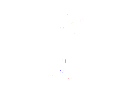 O=S(=O)(Cl)Cl.O=[N+]([O-])N(c1ccccc1)c1ccccc1